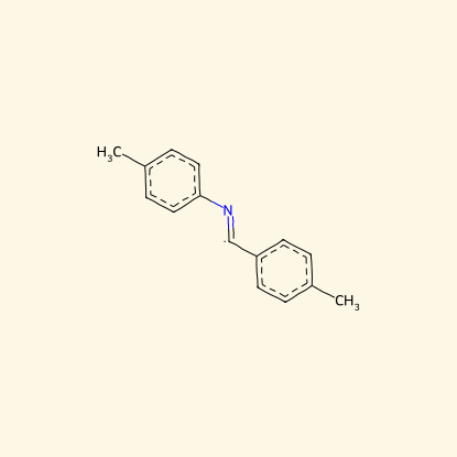 Cc1ccc([C]=Nc2ccc(C)cc2)cc1